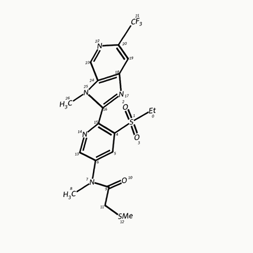 CCS(=O)(=O)c1cc(N(C)C(=O)CSC)cnc1-c1nc2cc(C(F)(F)F)ncc2n1C